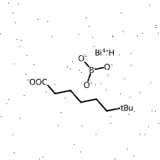 CC(C)(C)CCCCCC(=O)[O-].[BiH+4].[O-]B([O-])[O-]